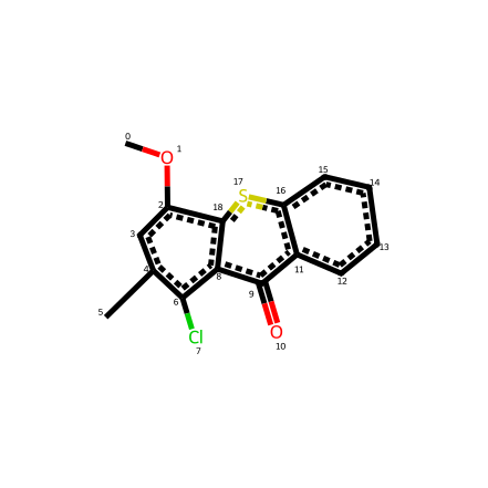 COc1cc(C)c(Cl)c2c(=O)c3ccccc3sc12